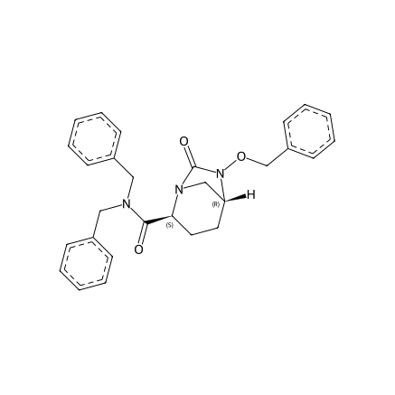 O=C([C@@H]1CC[C@@H]2CN1C(=O)N2OCc1ccccc1)N(Cc1ccccc1)Cc1ccccc1